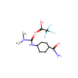 CN(C)C(=O)NC1CCC(C(N)=O)CC1.O=C(O)C(F)(F)F